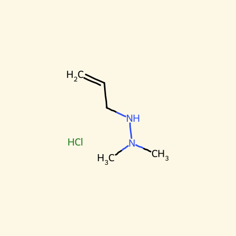 C=CCNN(C)C.Cl